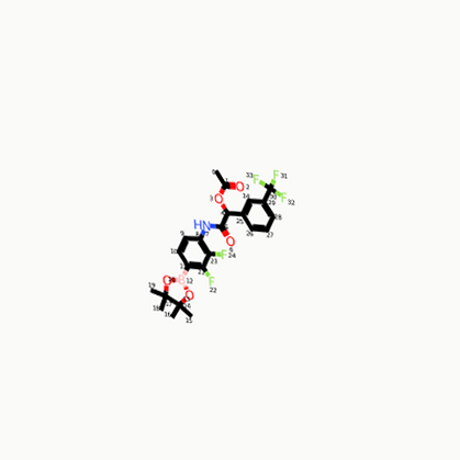 CC(=O)OC(C(=O)Nc1ccc(B2OC(C)(C)C(C)(C)O2)c(F)c1F)c1cccc(C(F)(F)F)c1